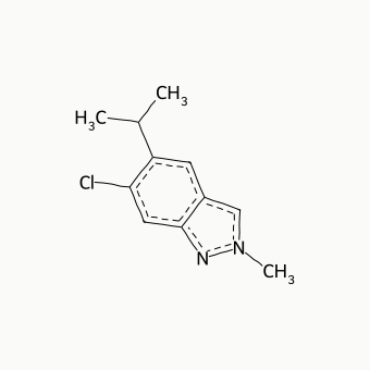 CC(C)c1cc2cn(C)nc2cc1Cl